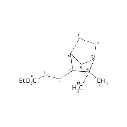 CCOC(=O)CCC1C2CCC(C2)C1(C)C